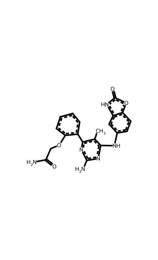 Cc1c(Nc2ccc3oc(=O)[nH]c3c2)nc(N)nc1-c1ccccc1OCC(N)=O